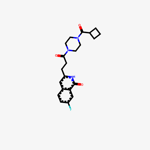 O=C(CCc1cc2ccc(F)cc2c(=O)[nH]1)N1CCN(C(=O)C2CCC2)CC1